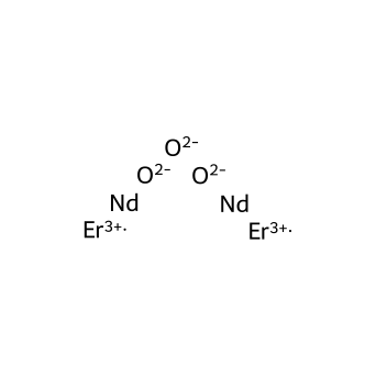 [Er+3].[Er+3].[Nd].[Nd].[O-2].[O-2].[O-2]